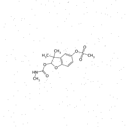 CNC(=O)OC1Oc2ccc(OS(C)(=O)=O)cc2C1(C)C